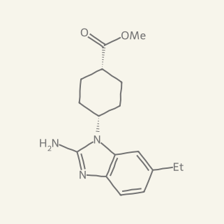 CCc1ccc2nc(N)n([C@H]3CC[C@@H](C(=O)OC)CC3)c2c1